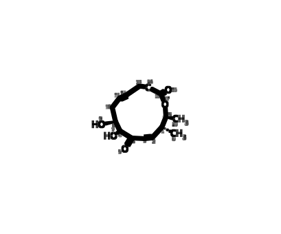 C[C@@H]1/C=C\C(=O)[C@@H](O)[C@@H](O)C/C=C/CCC(=O)O[C@H]1C